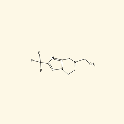 CCN1CCn2cc(C(F)(F)F)nc2C1